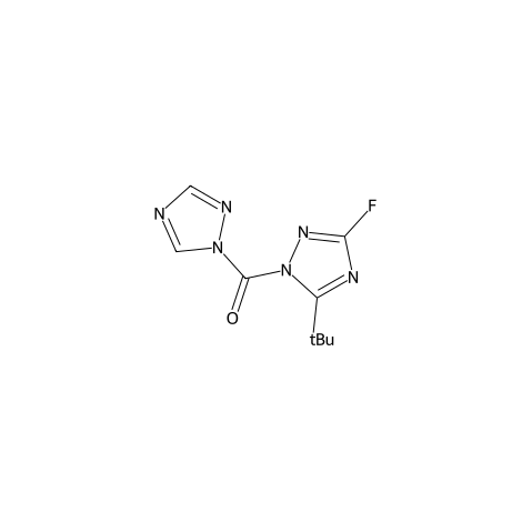 CC(C)(C)c1nc(F)nn1C(=O)n1cncn1